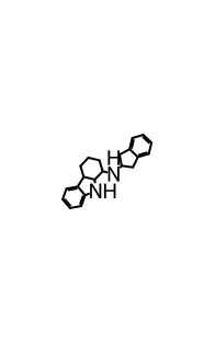 c1ccc2c(c1)CC(NC1CCCC3c4ccccc4NC13)C2